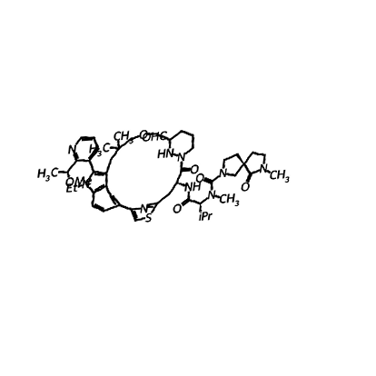 CCn1c(-c2cccnc2[C@H](C)OC)c2c3cc(ccc31)-c1csc(n1)C[C@H](NC(=O)[C@H](C(C)C)N(C)C(=O)N1CC[C@]3(CCN(C)C3=O)C1)C(=O)N1CCC[C@](C=O)(COCC(C)(C)C2)N1